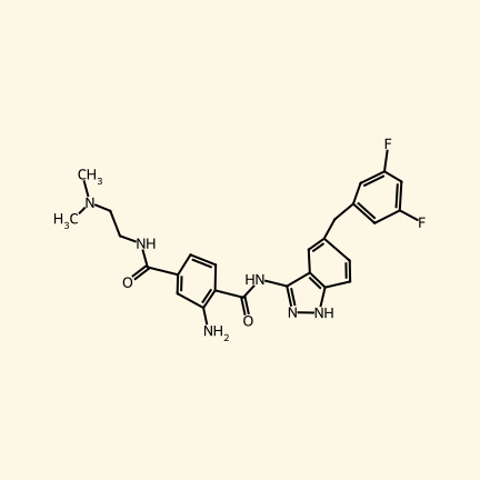 CN(C)CCNC(=O)c1ccc(C(=O)Nc2n[nH]c3ccc(Cc4cc(F)cc(F)c4)cc23)c(N)c1